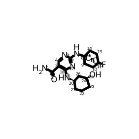 NC(=O)c1cnc(NC23CCC(F)(CC2)CC3)nc1N[C@@H]1CCC[C@H](O)C1